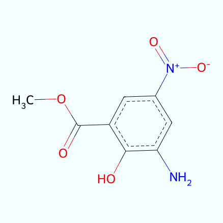 COC(=O)c1cc([N+](=O)[O-])cc(N)c1O